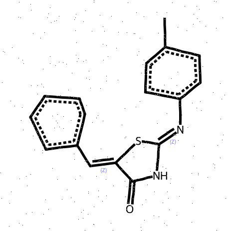 Cc1ccc(/N=C2/NC(=O)/C(=C/c3ccccc3)S2)cc1